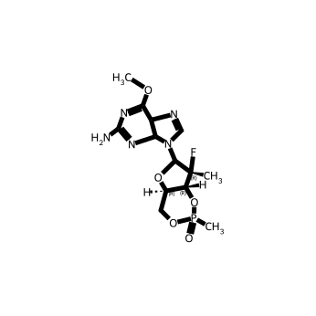 COC1=NC(N)=NC2C1N=CN2C1O[C@@H]2COP(C)(=O)O[C@H]2[C@@]1(C)F